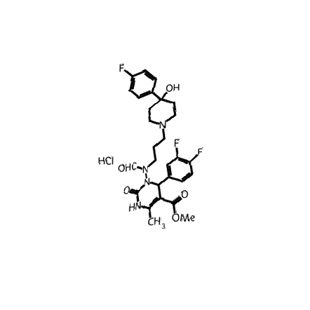 COC(=O)C1=C(C)NC(=O)N(N(C=O)CCCN2CCC(O)(c3ccc(F)cc3)CC2)C1c1ccc(F)c(F)c1.Cl